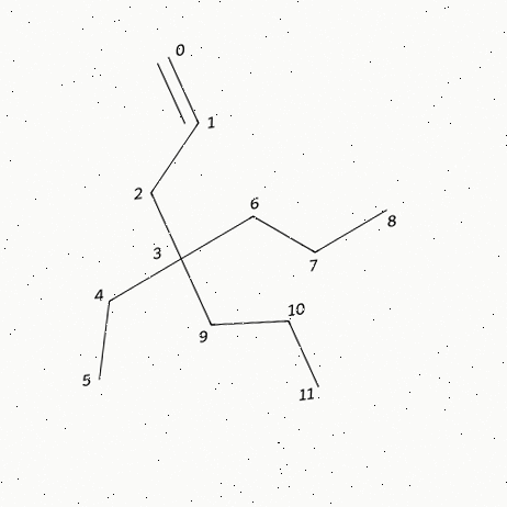 C=CCC(CC)(CCC)CCC